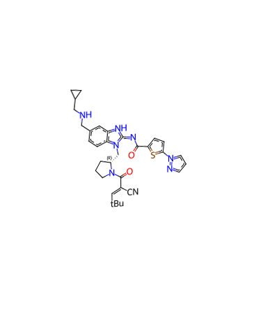 CC(C)(C)C=C(C#N)C(=O)N1CCC[C@@H]1Cn1c(=NC(=O)c2ccc(-n3cccn3)s2)[nH]c2cc(CNCC3CC3)ccc21